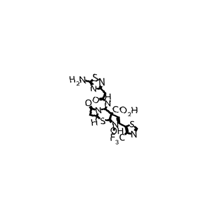 Nc1nc(CC(=O)NC2N3C(=O)C[C@H]3SC(=NO)C2(C=Cc2scnc2C(F)(F)F)C(=O)O)ns1